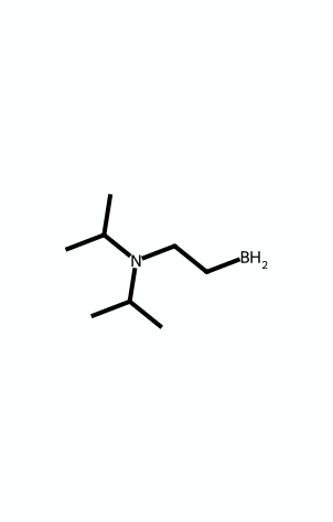 BCCN(C(C)C)C(C)C